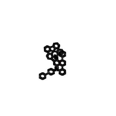 c1ccc(-c2ccc(-c3ccccc3N(c3ccc(-c4ccccc4)cc3)c3ccc4c(c3)c3cccc5c3n4-c3ccccc3C53c4ccccc4-c4ccccc43)cc2)cc1